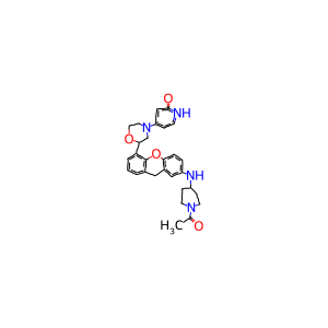 CC(=O)N1CCC(Nc2ccc3c(c2)Cc2cccc(C4CN(c5cc[nH]c(=O)c5)CCO4)c2O3)CC1